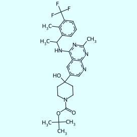 Cc1nc(NC(C)c2cccc(C(F)(F)F)c2C)c2cc(C3(O)CCN(C(=O)OC(C)(C)C)CC3)cnc2n1